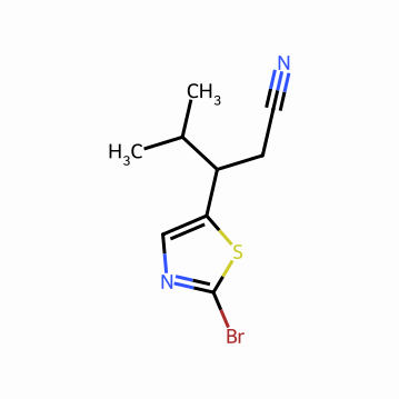 CC(C)C(CC#N)c1cnc(Br)s1